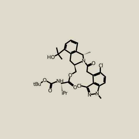 CC(C)[C@H](NC(=O)OC(C)(C)C)C(=O)OC[C@H]1Cc2c(cccc2C(C)(C)O)[C@H](C)N1C(=O)Cc1c(Cl)ccc2c1c(Cl)nn2C